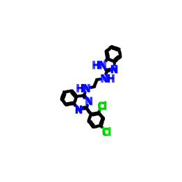 Clc1ccc(-c2nc(NCCNc3nc4ccccc4[nH]3)c3ccccc3n2)c(Cl)c1